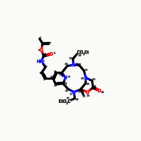 C=C(C)OC(=O)NC/C=C\c1cc2nc(c1)CN(CC(=O)OCC)C1(C)CN(CCN(CC(=O)OCC)C2)CC(=O)O1